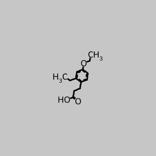 CCOc1ccc(CCC(=O)O)c(CC)c1